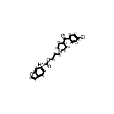 O=C(Nc1ccc2ccoc2c1)OCCCN1CCC(C(=O)c2ccc(Cl)cc2)CC1